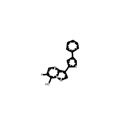 Oc1c(F)cnc2c(-c3cc(-c4ccccc4)cs3)cnn12